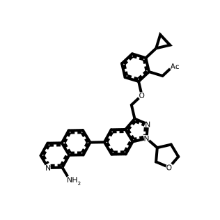 CC(=O)Cc1c(OCc2nn(C3CCOC3)c3ccc(-c4ccc5ccnc(N)c5c4)cc23)cccc1C1CC1